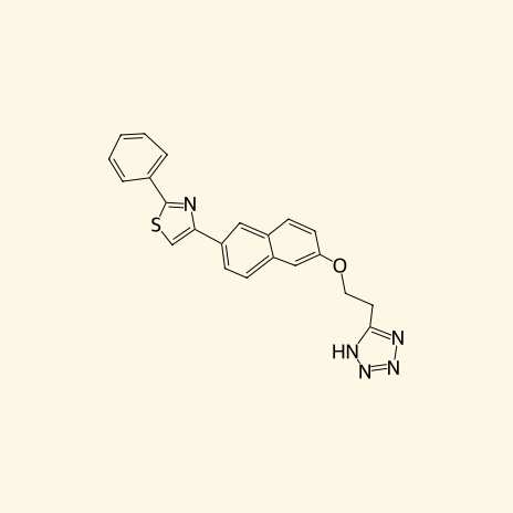 c1ccc(-c2nc(-c3ccc4cc(OCCc5nnn[nH]5)ccc4c3)cs2)cc1